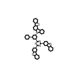 c1ccc(-c2cc(-c3nc(-c4ccc5sc6ccccc6c5c4)nc(-c4ccc5sc6ccccc6c5c4)n3)cc(-n3c4ccccc4c4c5sc6ccccc6c5ccc43)c2)cc1